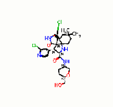 CC1(C)CCC2(CC1)N[C@@H](C(=O)N[C@@H]1CC[C@@H](CO)OC1)[C@H](c1ccnc(Cl)c1)[C@]21C(=O)Nc2cc(Cl)ccc21